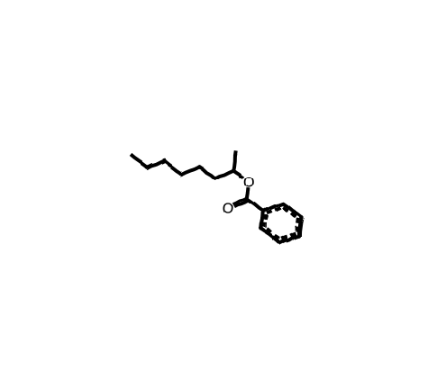 CCCCCCC(C)OC(=O)c1ccccc1